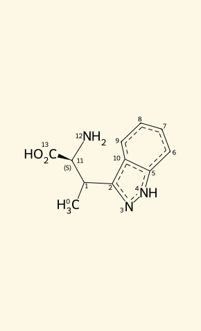 CC(c1n[nH]c2ccccc12)[C@H](N)C(=O)O